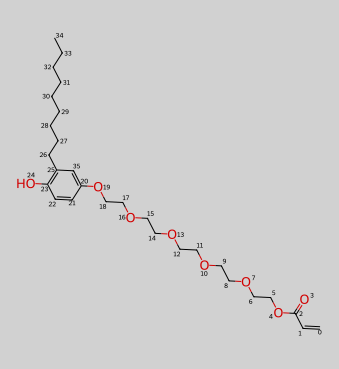 C=CC(=O)OCCOCCOCCOCCOCCOc1ccc(O)c(CCCCCCCCC)c1